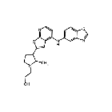 CC1C(c2cc3c(Nc4ccc5scnc5c4)ccnc3s2)CCN1CCO